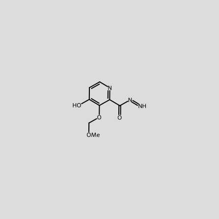 COCOc1c(O)ccnc1C(=O)N=N